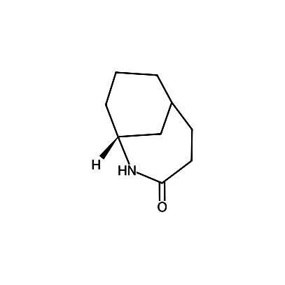 O=C1CCC2CCC[C@H](C2)N1